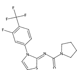 O=C(N=c1sccn1-c1ccc(C(F)(F)F)c(F)c1)N1CCCC1